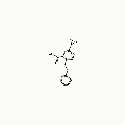 COC(=O)c1cc([C@H]2CO2)ccc1OCc1ccccc1